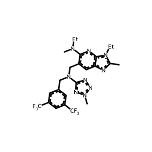 CCN(C)c1nc2c(cc1CN(Cc1cc(C(F)(F)F)cc(C(F)(F)F)c1)c1nnn(C)n1)nc(C)n2CC